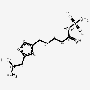 CN(C)Cc1nc(CSCCC(=N)NS(N)(=O)=O)cs1